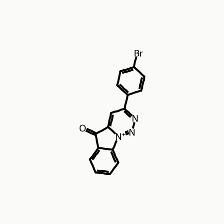 O=C1c2ccccc2-[n+]2nnc(-c3ccc(Br)cc3)cc21